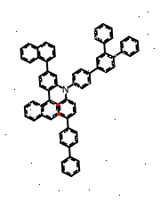 c1ccc(-c2ccc(-c3ccc(N(c4ccc(-c5ccc(-c6ccccc6)c(-c6ccccc6)c5)cc4)c4cc(-c5cccc6ccccc56)ccc4-c4cccc5ccccc45)cc3)cc2)cc1